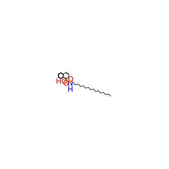 CCCCCCCCCCCCCCCCNS(=O)(=O)C1(O)CC=Cc2ccccc21